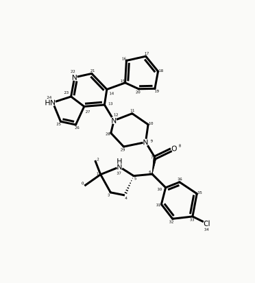 CC1(C)CC[C@@H]([C@@H](C(=O)N2CCN(c3c(-c4ccccc4)cnc4[nH]ccc34)CC2)c2ccc(Cl)cc2)N1